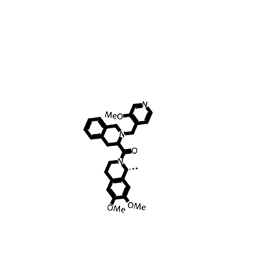 COc1cnccc1CN1Cc2ccccc2CC1C(=O)N1CCc2cc(OC)c(OC)cc2[C@H]1C